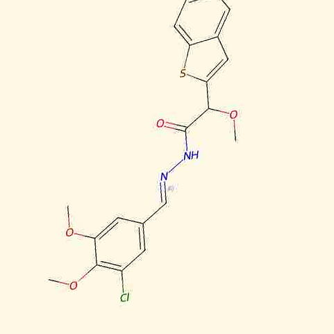 COc1cc(/C=N/NC(=O)C(OC)c2cc3ccccc3s2)cc(Cl)c1OC